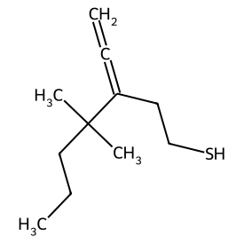 C=C=C(CCS)C(C)(C)CCC